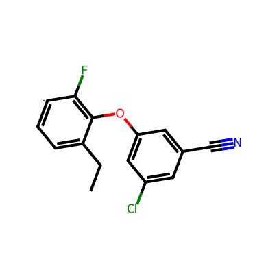 CCc1cc[c]c(F)c1Oc1cc(Cl)cc(C#N)c1